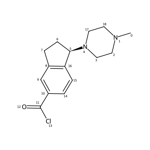 CN1CCN([C@@H]2CCc3cc(C(=O)Cl)ccc32)CC1